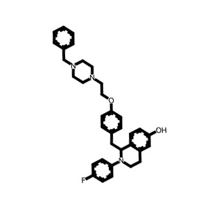 Oc1ccc2c(c1)CCN(c1ccc(F)cc1)C2Cc1ccc(OCCN2CCN(Cc3ccccc3)CC2)cc1